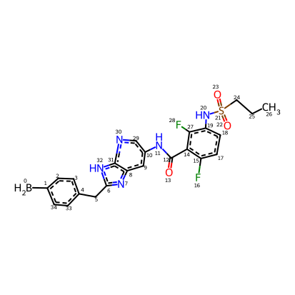 Bc1ccc(Cc2nc3cc(NC(=O)c4c(F)ccc(NS(=O)(=O)CCC)c4F)cnc3[nH]2)cc1